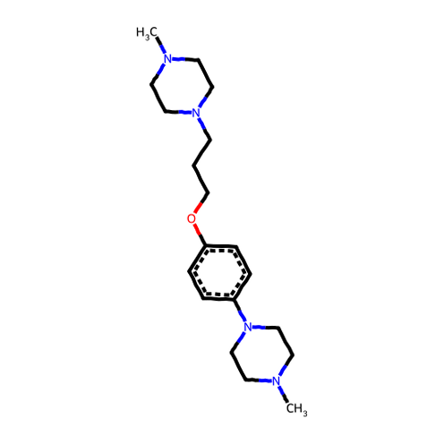 CN1CCN(CCCOc2ccc(N3CCN(C)CC3)cc2)CC1